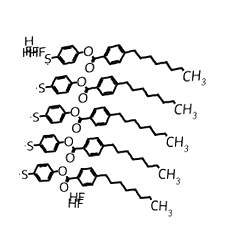 CCCCCCCCc1ccc(C(=O)Oc2ccc([S])cc2)cc1.CCCCCCCCc1ccc(C(=O)Oc2ccc([S])cc2)cc1.CCCCCCCCc1ccc(C(=O)Oc2ccc([S])cc2)cc1.CCCCCCCCc1ccc(C(=O)Oc2ccc([S])cc2)cc1.CCCCCCCCc1ccc(C(=O)Oc2ccc([S])cc2)cc1.F.F.F.F.F